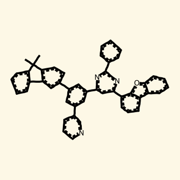 CC1(C)c2ccccc2-c2cc(-c3cc(-c4cccnc4)cc(-c4cc(-c5cccc6c5oc5ccccc56)nc(-c5ccccc5)n4)c3)ccc21